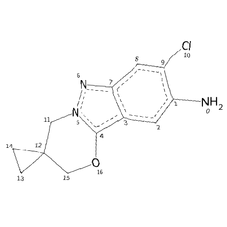 Nc1cc2c3n(nc2cc1Cl)CC1(CC1)CO3